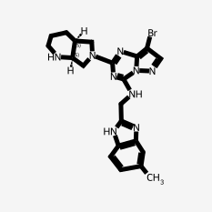 Cc1ccc2[nH]c(CNc3nc(N4C[C@@H]5CCCN[C@@H]5C4)nc4c(Br)cnn34)nc2c1